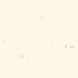 CC(CF)C(C)S(=O)(=O)O